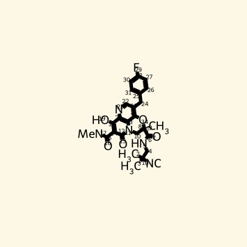 [C-]#[N+]C(C)(C)CNC(=O)[C@@]1(C)Cn2c(=O)c(C(=O)NC)c(O)c3ncc(Cc4ccc(F)cc4)c(c32)O1